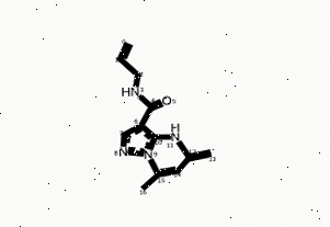 C=CCNC(=O)c1cnn2c1NC(=C)C=C2C